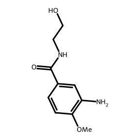 COc1ccc(C(=O)NCCO)cc1N